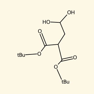 CC(C)(C)OC(=O)C(CC(O)O)C(=O)OC(C)(C)C